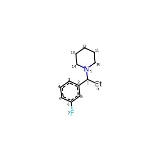 [CH2]CC(c1cccc(F)c1)N1CCCCC1